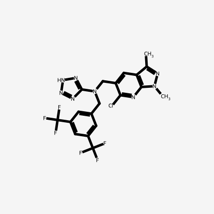 Cc1nn(C)c2nc(Cl)c(CN(Cc3cc(C(F)(F)F)cc(C(F)(F)F)c3)c3nn[nH]n3)cc12